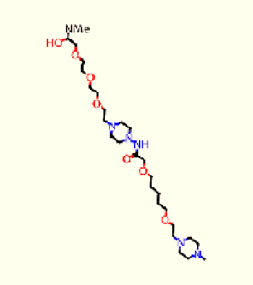 CNC(O)COCCOCCOCCN1CCN(NC(=O)COCCCCCOCCN2CCN(C)CC2)CC1